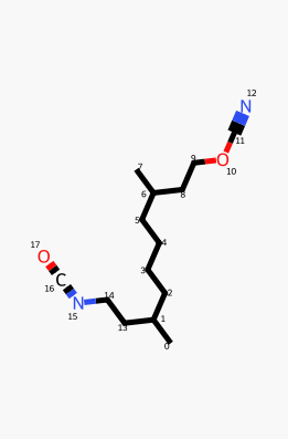 CC(CCCCC(C)CCOC#N)CCN=C=O